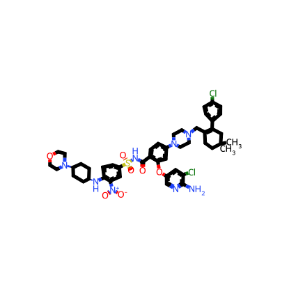 CC1(C)CCC(CN2CCN(c3ccc(C(=O)NS(=O)(=O)c4ccc(N[C@H]5CC[C@H](N6CCOCC6)CC5)c([N+](=O)[O-])c4)c(Oc4cnc(N)c(Cl)c4)c3)CC2)=C(c2ccc(Cl)cc2)C1